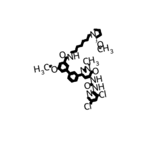 CCOc1cc(C(=O)NCCCCCCCN2CCC[C@@H]2COC)cc(-c2cccc(-c3cc(NC(=O)Nc4ncc(Cl)cc4Cl)c(=O)n(CC)n3)c2)c1